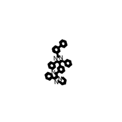 c1cc(-c2ccccc2)cc(-c2nc(-c3ccccc3)c(-c3cccc(-c4nc5ccccc5c5nc6ccccn6c45)c3)c(-c3ccccc3)n2)c#1